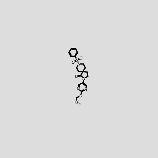 O=C1N(c2cnc(OCC(F)(F)F)nc2)CCC12CCN(S(=O)(=O)c1ccccc1)CC2